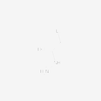 CCCCNN.Cl